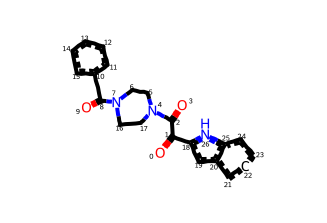 O=C(C(=O)N1CCN(C(=O)c2ccccc2)CC1)c1cc2ccccc2[nH]1